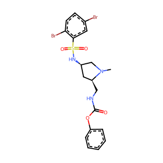 CN1C[C@H](NS(=O)(=O)c2cc(Br)ccc2Br)C[C@@H]1CNC(=O)Oc1ccccc1